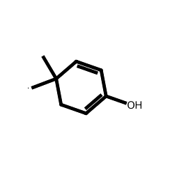 [CH2]C1(C)C=CC(O)=CC1